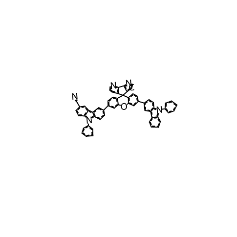 N#Cc1ccc2c(c1)c1cc(-c3ccc4c(c3)Oc3cc(-c5ccc6c(c5)c5ccccc5n6-c5ccccc5)ccc3C43c4cccnc4-c4ncccc43)ccc1n2-c1ccccc1